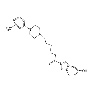 O=C(CCCCCN1CCN(c2cccc(C(F)(F)F)c2)CC1)n1cc2ccc(O)cc2c1